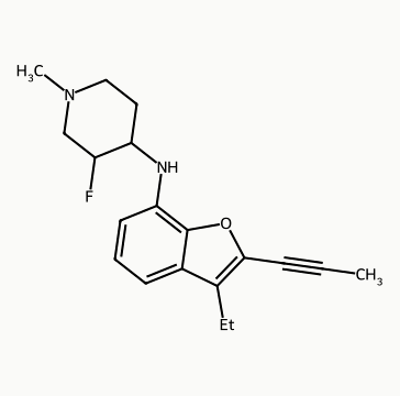 CC#Cc1oc2c(NC3CCN(C)CC3F)cccc2c1CC